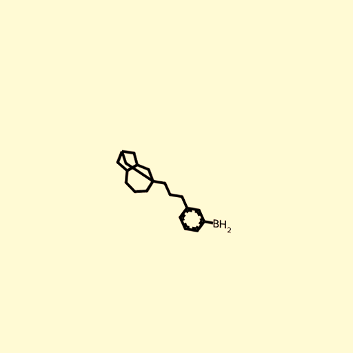 Bc1cccc(CCCC23CCCC4CC(CC4C2)C3)c1